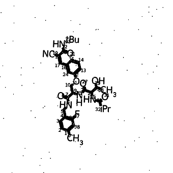 Cc1ccc(CNC(=O)C(COc2cccc(C=C(C#N)C(=O)NC(C)(C)C)c2)NC(=O)C(NC(=O)C(C)C)C(C)O)c(F)c1